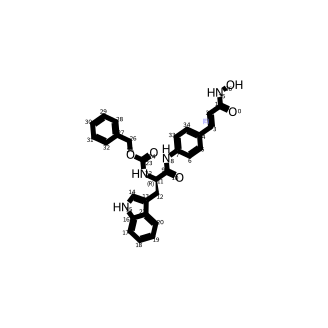 O=C(/C=C/c1ccc(NC(=O)[C@@H](Cc2c[nH]c3ccccc23)NC(=O)OCc2ccccc2)cc1)NO